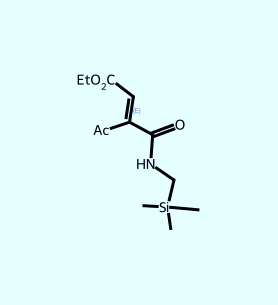 CCOC(=O)/C=C(\C(C)=O)C(=O)NC[Si](C)(C)C